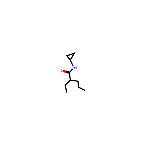 CCCC(CC)C(=O)NC1CC1